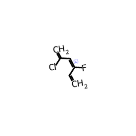 C=C/C(F)=C\C(=C)Cl